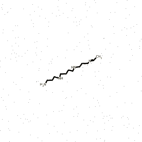 C/C=N/CCCNCCCCNCCCN